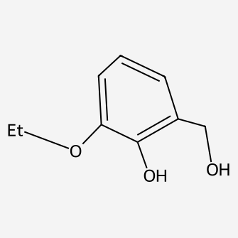 CCOc1cccc(CO)c1O